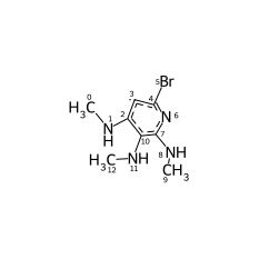 CNc1[c]c(Br)nc(NC)c1NC